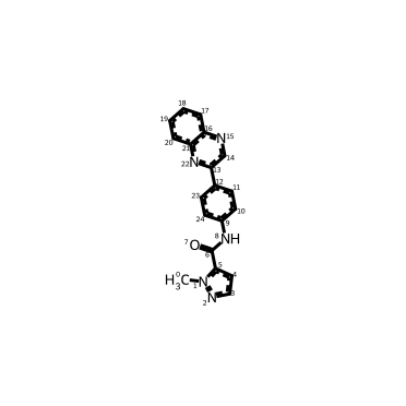 Cn1nccc1C(=O)Nc1ccc(-c2cnc3ccccc3n2)cc1